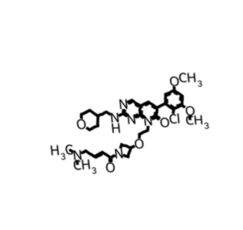 COc1cc(OC)c(Cl)c(-c2cc3cnc(NCC4CCOCC4)nc3n(CCOC3CN(C(=O)/C=C/CN(C)C)C3)c2=O)c1